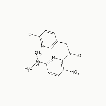 CCN(Cc1ccc(Cl)nc1)c1n[c]([SnH]([CH3])[CH3])ccc1[N+](=O)[O-]